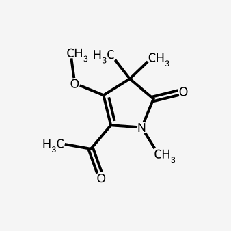 COC1=C(C(C)=O)N(C)C(=O)C1(C)C